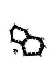 [Zn].c1ccc2ccccc2c1